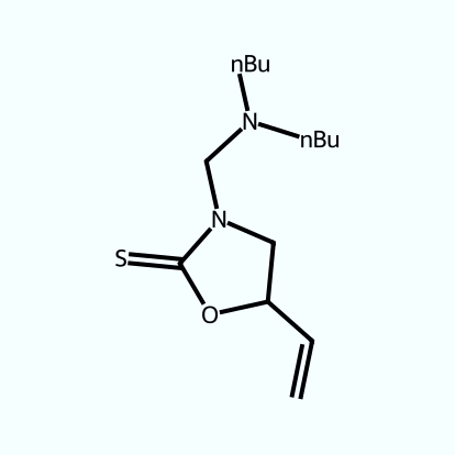 C=CC1CN(CN(CCCC)CCCC)C(=S)O1